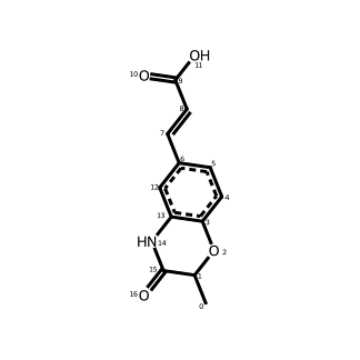 CC1Oc2ccc(C=CC(=O)O)cc2NC1=O